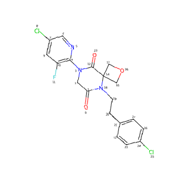 O=C1CN(c2ncc(Cl)cc2F)C(=O)C2(COC2)N1CCc1ccc(Cl)cc1